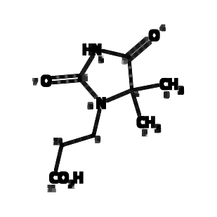 CC1(C)C(=O)NC(=O)N1CCC(=O)O